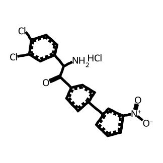 Cl.NC(C(=O)c1ccc(-c2cccc([N+](=O)[O-])c2)cc1)c1ccc(Cl)c(Cl)c1